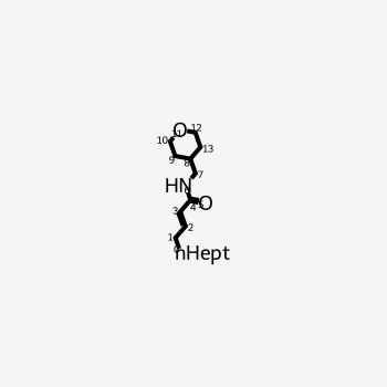 CCCCCCCCC=CC(=O)NCC1CCOCC1